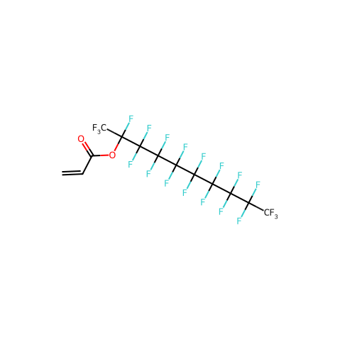 C=CC(=O)OC(F)(C(F)(F)F)C(F)(F)C(F)(F)C(F)(F)C(F)(F)C(F)(F)C(F)(F)C(F)(F)C(F)(F)F